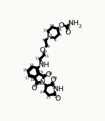 NC(=O)OC1CCN(CCOCCNc2cccc3c2C(=O)N(C2CCC(=O)NC2=O)C3=O)CC1